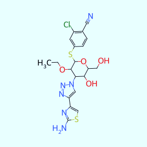 CCOC1C(Sc2ccc(C#N)c(Cl)c2)OC(CO)C(O)C1n1cc(-c2csc(N)n2)nn1